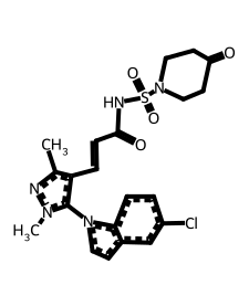 Cc1nn(C)c(-n2ccc3cc(Cl)ccc32)c1/C=C/C(=O)NS(=O)(=O)N1CCC(=O)CC1